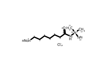 CCCCCCCCCCCCCCCC(=O)N[N+](C)(C)CCC.[Cl-]